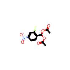 CC(=O)OC(OC(C)=O)c1ccc([N+](=O)[O-])cc1F